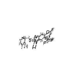 Cc1cccnc1CSc1nc2cc(OC(F)F)c(OC(F)F)cc2[nH]1